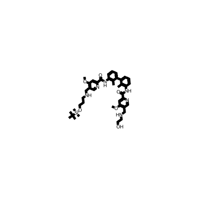 COc1cc(C(=O)Nc2cccc(-c3cccc(NC(=O)c4cc(OC)c(CNCCCO[Si](C)(C)C(C)(C)C)cn4)c3C)c2C)ncc1CNCCO